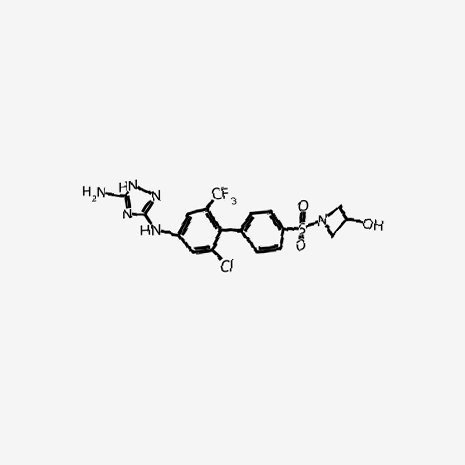 Nc1nc(Nc2cc(Cl)c(-c3ccc(S(=O)(=O)N4CC(O)C4)cc3)c(C(F)(F)F)c2)n[nH]1